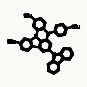 CC(C)(C)c1ccc(N2c3ccc(C(C)(C)C)cc3B3c4cc(C(C)(C)C)ccc4-c4cc(-n5c6ccccc6c6ccccc65)cc2c43)cc1